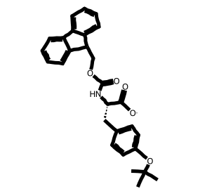 CC(C)(C)Oc1ccc(C[C@H](NC(=O)OCC2c3ccccc3-c3ccccc32)C([O])=O)cc1